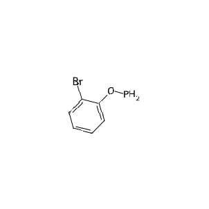 POc1ccccc1Br